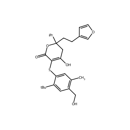 Cc1cc(SC2=C(O)CC(CCc3ccoc3)(C(C)C)OC2=O)c(C(C)(C)C)cc1CO